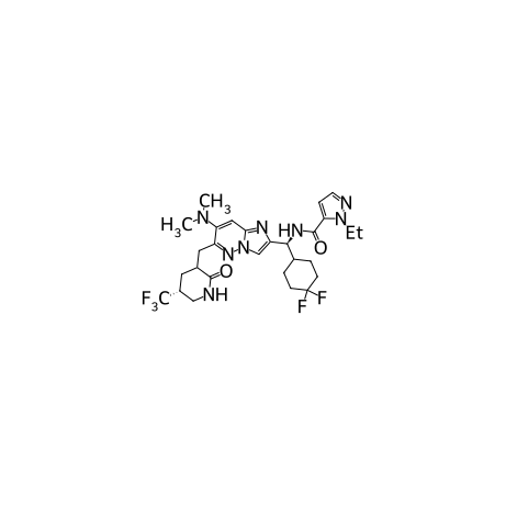 CCn1nccc1C(=O)N[C@H](c1cn2nc(CC3C[C@@H](C(F)(F)F)CNC3=O)c(N(C)C)cc2n1)C1CCC(F)(F)CC1